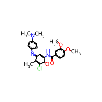 COc1ccc(C(=O)NC2=C/C(=N\c3ccc(N(C)C)cc3)C(C)=C(Cl)C2=O)cc1OC